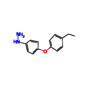 CCc1ccc(Oc2ccc(NN)cc2)cc1